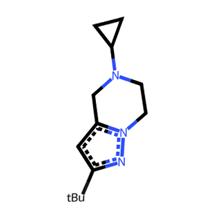 CC(C)(C)c1cc2n(n1)CCN(C1CC1)C2